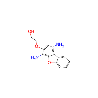 Nc1c(OCCO)cc(N)c2c1oc1ccccc12